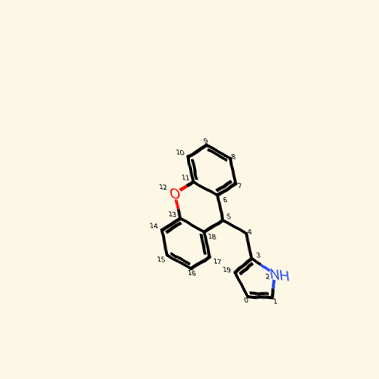 c1c[nH]c(CC2c3ccccc3Oc3ccccc32)c1